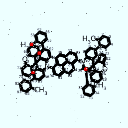 Cc1ccccc1-c1ccc2c(c1)C1(c3ccccc3Oc3ccccc31)c1cc(-c3ccccc3C)ccc1N2c1ccc2ccc3c(N4c5ccc(-c6ccccc6C)cc5C5(c6ccccc6Oc6ccccc65)c5cc(-c6ccccc6C)ccc54)ccc4ccc1c2c43